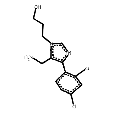 NCc1c(-c2ccc(Cl)cc2Cl)ncn1CCCO